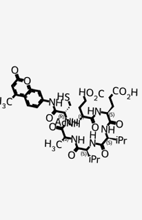 CC(=O)N[C@@H](CCC(=O)O)C(=O)N[C@@H](CCC(=O)O)C(=O)N[C@H](C(=O)N[C@H](C(=O)N[C@@H](C)C(=O)N[C@@H](CS)C(=O)Nc1ccc2c(C)cc(=O)oc2c1)C(C)C)C(C)C